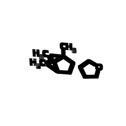 C1CCOC1.CC12CCC(CC1)C2(C)C